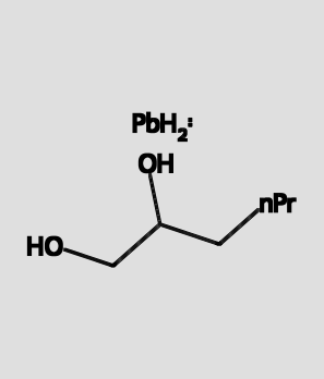 CCCCC(O)CO.[PbH2]